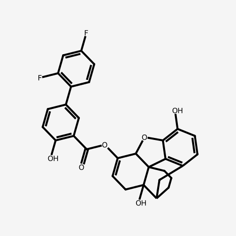 O=C(OC1=CCC2(O)C3CCCC24c2c(ccc(O)c2OC14)C3)c1cc(-c2ccc(F)cc2F)ccc1O